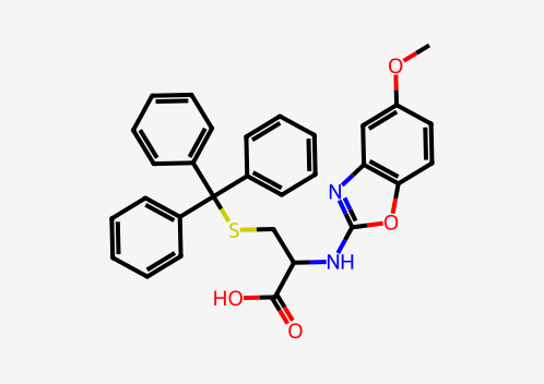 COc1ccc2oc(NC(CSC(c3ccccc3)(c3ccccc3)c3ccccc3)C(=O)O)nc2c1